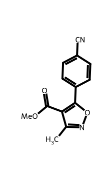 COC(=O)c1c(C)noc1-c1ccc(C#N)cc1